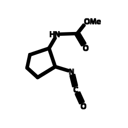 COC(=O)NC1CCCC1N=C=O